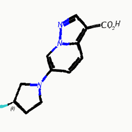 O=C(O)c1cnn2cc(N3CC[C@@H](F)C3)ccc12